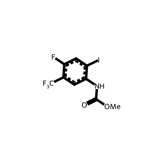 COC(=O)Nc1cc(C(F)(F)F)c(F)cc1I